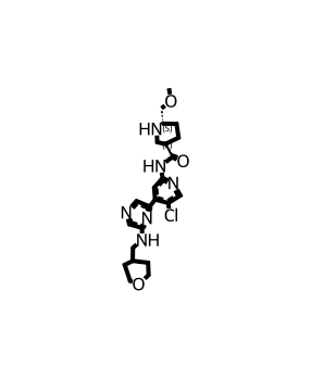 COC[C@@H]1CC[C@@H](C(=O)Nc2cc(-c3cncc(NCC4CCOCC4)n3)c(Cl)cn2)CN1